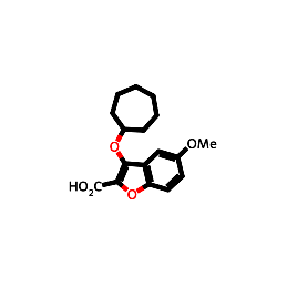 COc1ccc2oc(C(=O)O)c(OC3CCCCCC3)c2c1